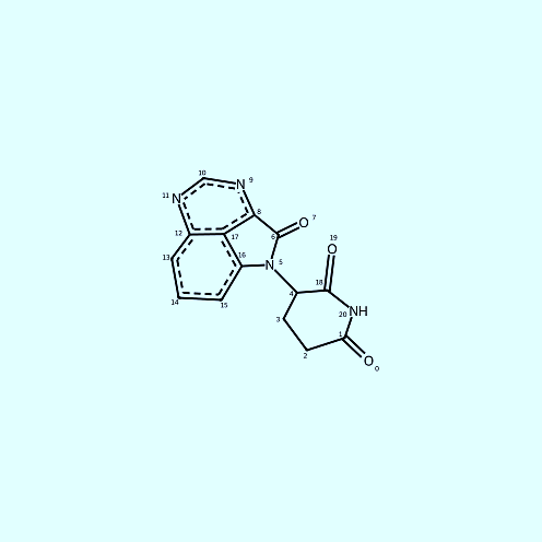 O=C1CCC(N2C(=O)c3ncnc4cccc2c34)C(=O)N1